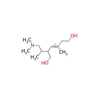 C/C(=C\C(CO)C(C)CN(C)C)CCO